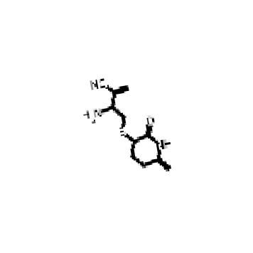 C=C1CCC(SCC(N)C(=C)C#N)C(=O)N1